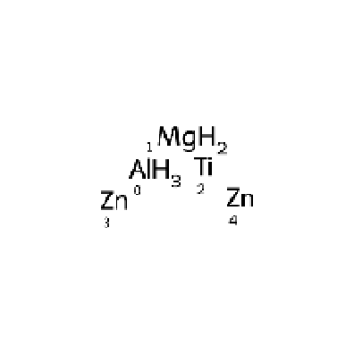 [AlH3].[MgH2].[Ti].[Zn].[Zn]